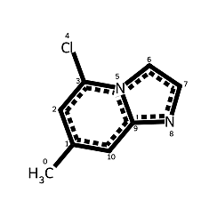 Cc1cc(Cl)n2ccnc2c1